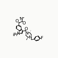 CC(C)n1cc(C(=O)N2C[C@H](C)N(Cc3ccc(F)cc3)C[C@H]2C)c2cc(C(=O)C(=O)N(C)C)ccc21